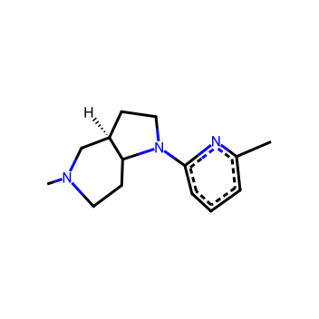 Cc1cccc(N2CC[C@@H]3CN(C)CCC32)n1